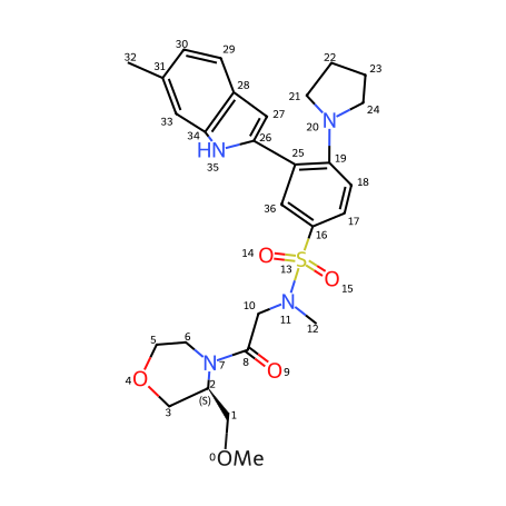 COC[C@H]1COCCN1C(=O)CN(C)S(=O)(=O)c1ccc(N2CCCC2)c(-c2cc3ccc(C)cc3[nH]2)c1